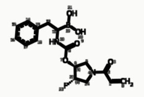 C=CC(=O)N1C[C@H](OC(=O)NC(Cc2ccccc2)B(O)O)[C@@H](F)C1